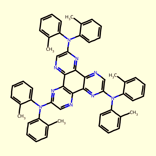 Cc1ccccc1N(c1cnc2c(n1)c1ncc(N(c3ccccc3C)c3ccccc3C)nc1c1ncc(N(c3ccccc3C)c3ccccc3C)nc21)c1ccccc1C